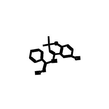 CC1(C)C=C(N/C(=N/C#N)c2ccccc2)c2cc(C#N)ccc2O1